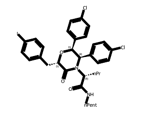 CCCCCNC(=O)[C@@H](CCC)N1C(=O)[C@H](Cc2ccc(I)cc2)O[C@@H](c2ccc(Cl)cc2)[C@H]1c1ccc(Cl)cc1